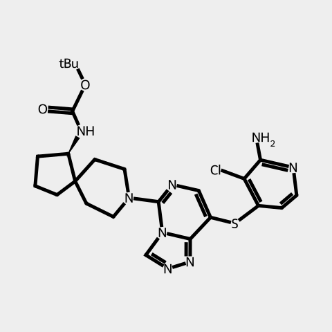 CC(C)(C)OC(=O)N[C@@H]1CCCC12CCN(c1ncc(Sc3ccnc(N)c3Cl)c3nncn13)CC2